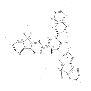 CN1C(C2=CC=C3C4=C(CCC=C4)C(C)(C)C3C2)NC(c2ccc3c(c2)C(C)(C)c2ccccc2-3)=NC1c1ccc2ccccc2c1